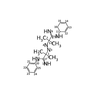 CC(C)(N=NC(C)(C)C(=N)NC1C=CC=CC1)C(=N)Nc1ccccc1